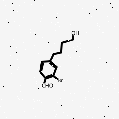 O=Cc1ccc(CCCCO)cc1Br